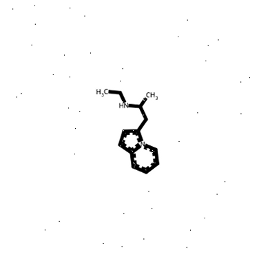 CCNC(C)Cc1ccc2ccccn12